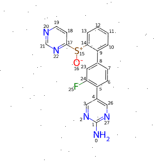 Nc1ncc(-c2ccc(-c3ccccc3[S+]([O-])c3ccncn3)cc2F)cn1